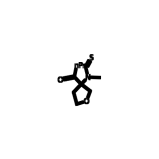 CCCC(=O)C1(N(C)C=S)CCOC1